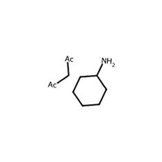 CC(=O)CC(C)=O.NC1CCCCC1